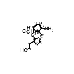 Cc1c(CCO)sc[n+]1Cc1ccccc1N.Cl.[Cl-]